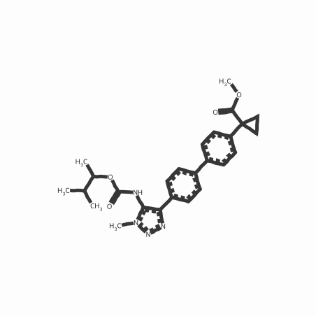 COC(=O)C1(c2ccc(-c3ccc(-c4nnn(C)c4NC(=O)OC(C)C(C)C)cc3)cc2)CC1